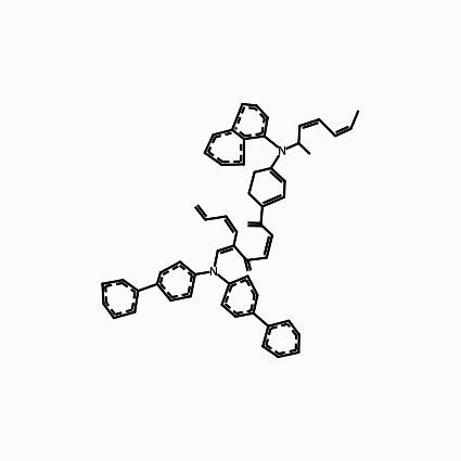 C=C/C=C\C(=C\N(c1ccc(-c2ccccc2)cc1)c1ccc(-c2ccccc2)cc1)C(=C)/C=C\C(=C)C1=CC=C(N(c2cccc3ccccc23)C(C)/C=C\C=C/C)CC1